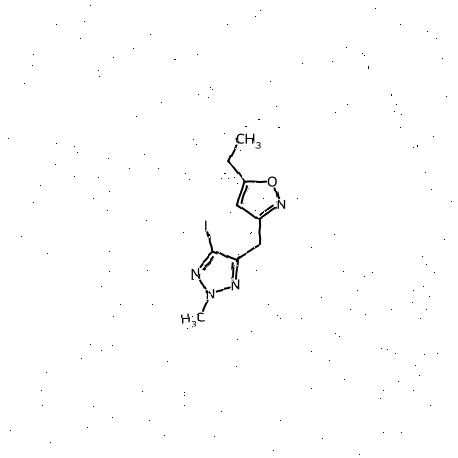 CCc1cc(Cc2nn(C)nc2I)no1